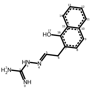 N=C(N)NN=CCc1ccc2ccccc2c1O